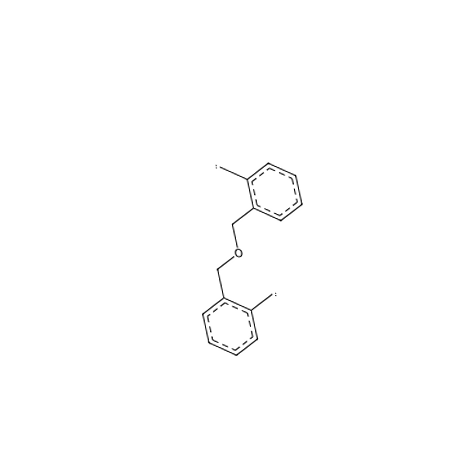 [CH]c1ccccc1COCc1ccccc1[CH]